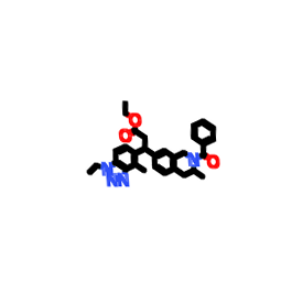 CCOC(=O)CC(c1ccc2c(c1)CN(C(=O)c1ccccc1)C(C)C2)c1ccc2c(nnn2CC)c1C